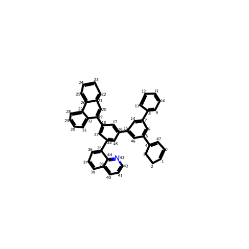 C1=CCCC(c2cc(-c3ccccc3)cc(-c3cc(-c4cc5ccccc5c5ccccc45)cc(-c4cccc5cccnc45)c3)c2)=C1